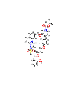 COc1ccccc1COCCCOc1ccc([C@H]2CCN(C(=O)OC(C)(C)C)C[C@@H]2OCc2ccc3c(c2)N(CCNS(C)(=O)=O)CCC3)cc1